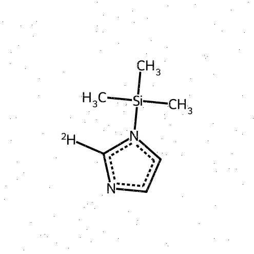 [2H]c1nccn1[Si](C)(C)C